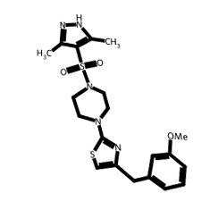 COc1cccc(Cc2csc(N3CCN(S(=O)(=O)c4c(C)n[nH]c4C)CC3)n2)c1